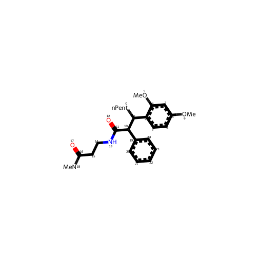 CCCCCC(c1ccc(OC)cc1OC)C(C(=O)NCCC(=O)NC)c1ccccc1